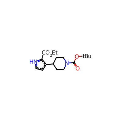 CCOC(=O)c1[nH]ccc1C1CCN(C(=O)OC(C)(C)C)CC1